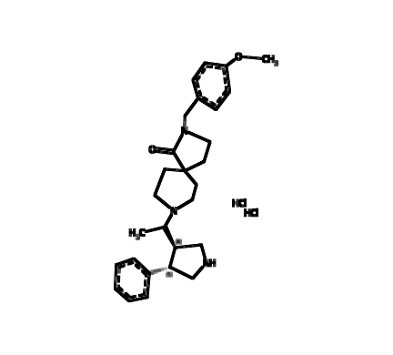 COc1ccc(CN2CCC3(CCN(C(C)[C@H]4CNC[C@@H]4c4ccccc4)CC3)C2=O)cc1.Cl.Cl